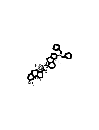 CN(C(=O)[C@@]1(C)CCC[C@]2(C)c3cc(N(Cc4ccccc4)Cc4ccccc4)ccc3CC[C@@H]12)C(=O)[C@@]1(C)CCC[C@]2(C)c3cc(N)ccc3CC[C@@]12C